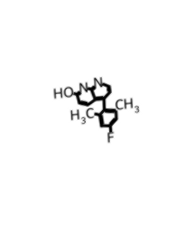 Cc1cc(F)cc(C)c1-c1ccnc2nc(O)ccc12